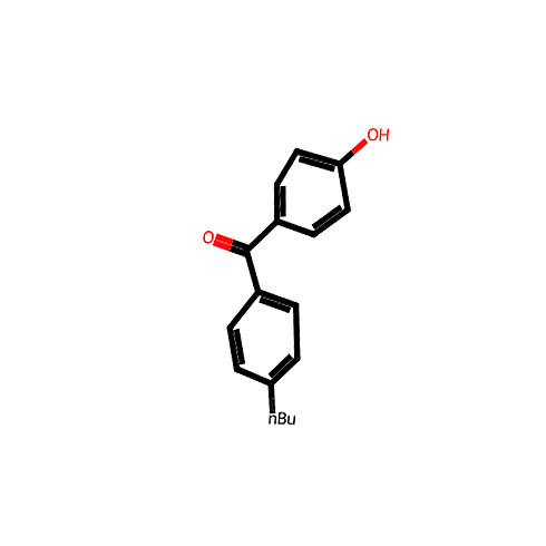 CCCCc1ccc(C(=O)c2ccc(O)cc2)cc1